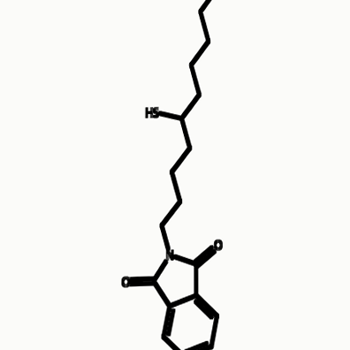 O=C1c2ccccc2C(=O)N1CCCCC(S)CCCCBr